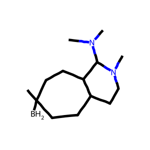 BC1(C)CCC2CCN(C)C(N(C)C)C2CC1